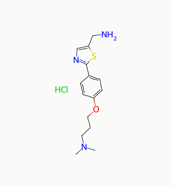 CN(C)CCCOc1ccc(-c2ncc(CN)s2)cc1.Cl